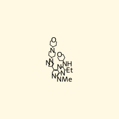 CCc1nc2c(NC)ncc(-c3cnn(C4CCN(C5CCOCC5)CC4)c3)c2nc1NC1CCOCC1